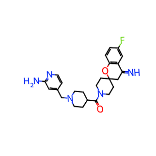 N=C1CC2(CCN(C(=O)C3CCN(Cc4ccnc(N)c4)CC3)CC2)Oc2ccc(F)cc21